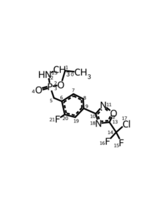 CCOP(=O)(Cc1ccc(-c2noc(C(F)(F)Cl)n2)cc1F)NC